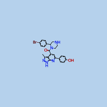 Cc1n[nH]c2nc(-c3ccc(O)cc3)cc(C(=O)N3CCNCC3c3ccc(Br)cc3)c12